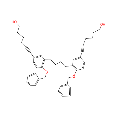 OCCCCC#Cc1ccc(OCc2ccccc2)c(CCCCc2cc(C#CCCCCO)ccc2OCc2ccccc2)c1